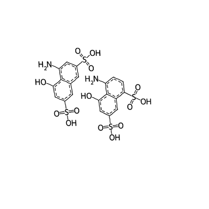 Nc1cc(S(=O)(=O)O)cc2cc(S(=O)(=O)O)cc(O)c12.Nc1ccc(S(=O)(=O)O)c2cc(S(=O)(=O)O)cc(O)c12